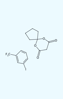 FC(F)(F)c1cccc(I)c1.O=C1CC(=O)OC2(CCCC2)O1